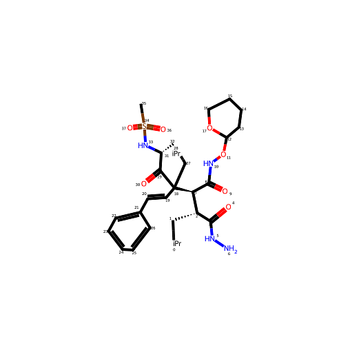 CC(C)C[C@@H](C(=O)NN)[C@H](C(=O)NOC1CCCCO1)C(/C=C/c1ccccc1)(CC(C)C)C(=O)[C@@H](C)NS(C)(=O)=O